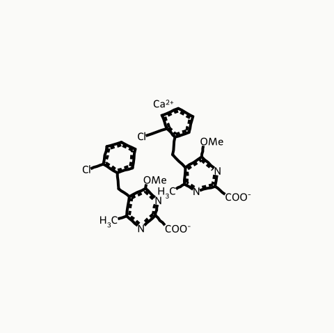 COc1nc(C(=O)[O-])nc(C)c1Cc1ccccc1Cl.COc1nc(C(=O)[O-])nc(C)c1Cc1ccccc1Cl.[Ca+2]